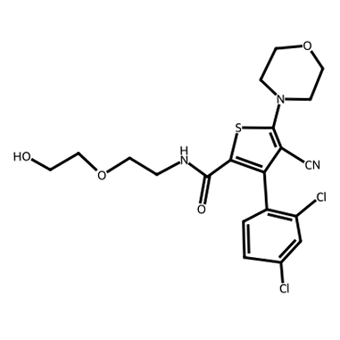 N#Cc1c(N2CCOCC2)sc(C(=O)NCCOCCO)c1-c1ccc(Cl)cc1Cl